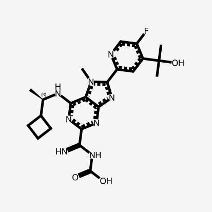 C[C@@H](Nc1nc(C(=N)NC(=O)O)nc2nc(-c3cc(C(C)(C)O)c(F)cn3)n(C)c12)C1CCC1